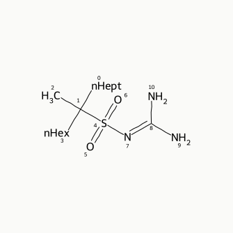 CCCCCCCC(C)(CCCCCC)S(=O)(=O)N=C(N)N